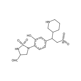 O=CC1CN(c2ccc(C(C[SH](=O)=O)C3CCCNC3)cc2O)S(=O)(=O)N1